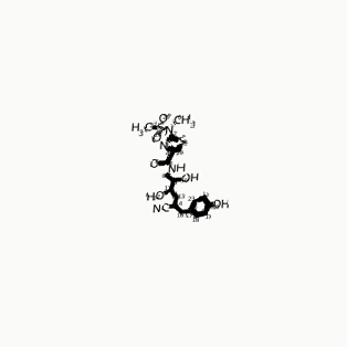 CN(c1nc(C(=O)NCC(O)C(O)CC(C#N)Cc2ccc(O)cc2)cs1)S(C)(=O)=O